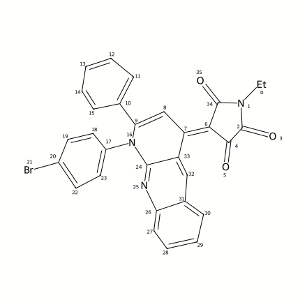 CCN1C(=O)C(=O)/C(=C2/C=C(c3ccccc3)N(c3ccc(Br)cc3)c3nc4ccccc4cc32)C1=O